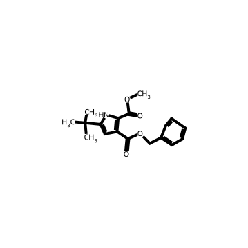 COC(=O)c1[nH]c(C(C)(C)C)cc1C(=O)OCc1ccccc1